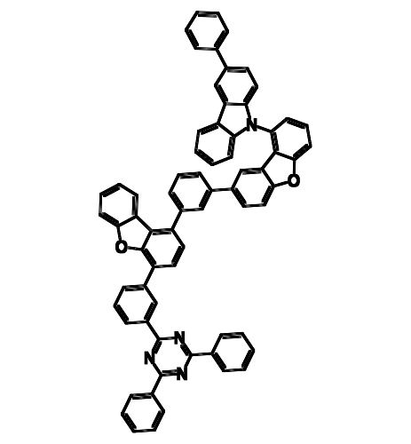 c1ccc(-c2ccc3c(c2)c2ccccc2n3-c2cccc3oc4ccc(-c5cccc(-c6ccc(-c7cccc(-c8nc(-c9ccccc9)nc(-c9ccccc9)n8)c7)c7oc8ccccc8c67)c5)cc4c23)cc1